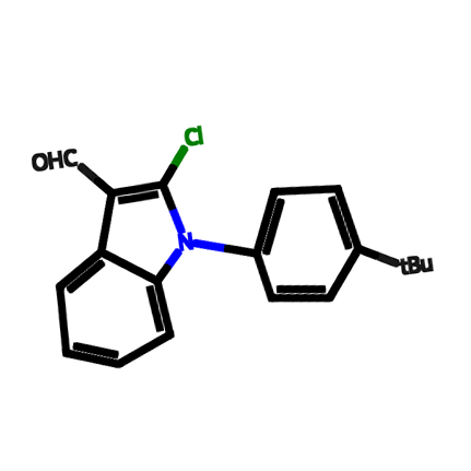 CC(C)(C)c1ccc(-n2c(Cl)c(C=O)c3ccccc32)cc1